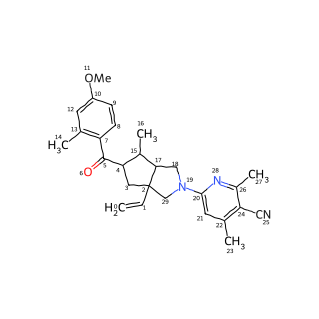 C=CC12CC(C(=O)c3ccc(OC)cc3C)C(C)C1CN(c1cc(C)c(C#N)c(C)n1)C2